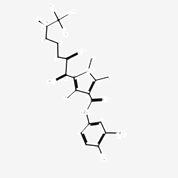 Cc1c(C(=O)Nc2ccc(F)c(N)c2)c(C)n(C)c1C(=O)C(=O)CCC[C@@H](C)C(F)(F)F